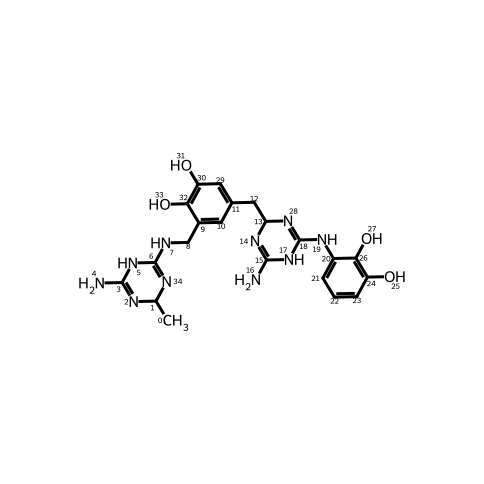 CC1N=C(N)NC(NCc2cc(CC3N=C(N)NC(Nc4cccc(O)c4O)=N3)cc(O)c2O)=N1